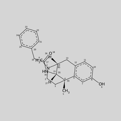 CN1CC[C@@]2(C)c3cc(O)ccc3C[C@@H]1[C@H]2NC(=O)Cc1ccccc1